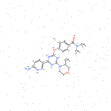 CC1COCCN1c1nc(Oc2ccc(C(=O)N(C)C)cc2F)nc(-c2ccc(N)nc2)n1